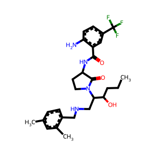 CCCC(O)C(CNCc1ccc(C)cc1C)N1CCC(NC(=O)c2cc(C(F)(F)F)ccc2N)C1=O